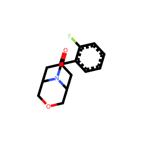 O=C1CC2COCC(C1)N2Cc1ccccc1F